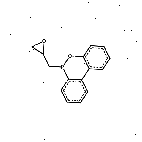 c1ccc2c(c1)OP(CC1CO1)c1ccccc1-2